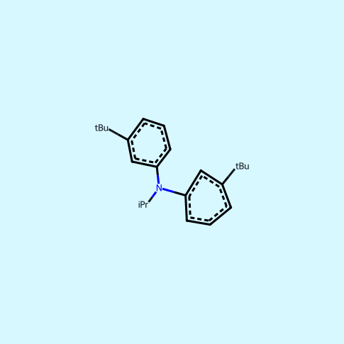 CC(C)N(c1cccc(C(C)(C)C)c1)c1cccc(C(C)(C)C)c1